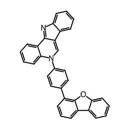 c1ccc2c3cn(-c4ccc(-c5cccc6c5oc5ccccc56)cc4)c4ccccc4c-3nc2c1